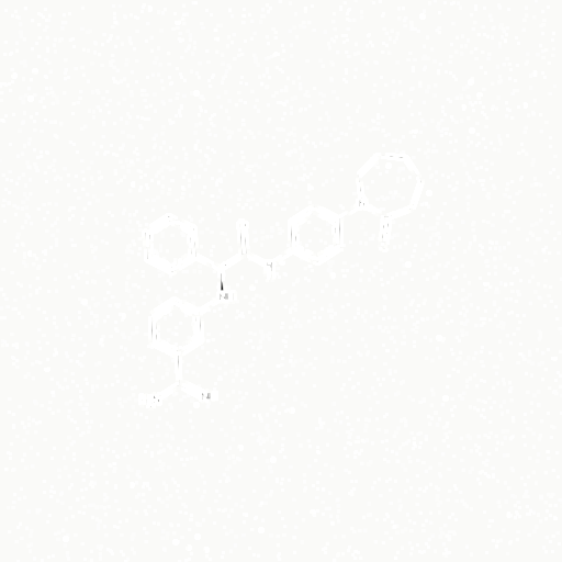 N=C(N)c1cccc(N[C@H](C(=O)Nc2ccc(N3CCCCCC3=O)cc2)c2ccccc2)c1